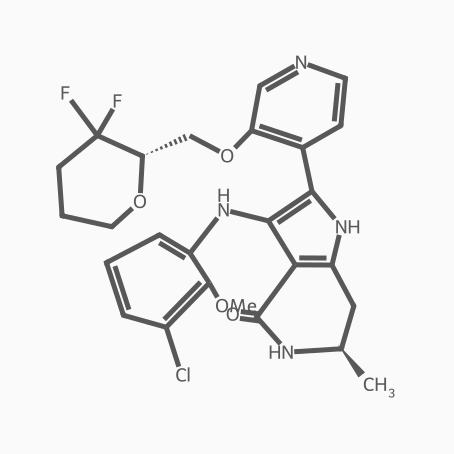 COc1c(Cl)cccc1Nc1c(-c2ccncc2OC[C@@H]2OCCCC2(F)F)[nH]c2c1C(=O)N[C@H](C)C2